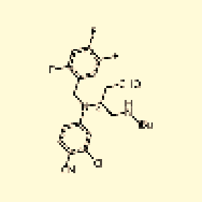 CCC(C)NC[C@H](CC=O)N(Cc1cc(F)c(F)cc1F)c1ccc(C#N)c(Cl)c1